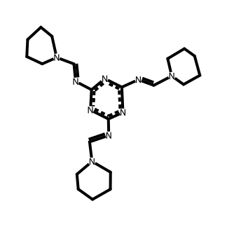 C(=Nc1nc(N=CN2CCCCC2)nc(N=CN2CCCCC2)n1)N1CCCCC1